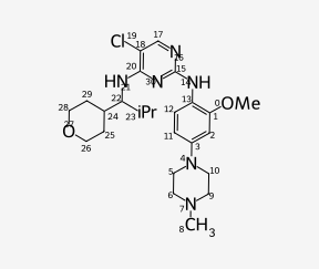 COc1cc(N2CCN(C)CC2)ccc1Nc1ncc(Cl)c(NC(C(C)C)C2CCOCC2)n1